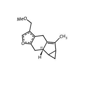 COCc1coc2c1CC1=C(C)C3CC3[C@@H]1C2